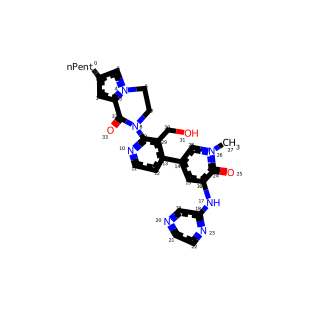 CCCCCc1cc2n(c1)CCN(c1nccc(-c3cc(Nc4cnccn4)c(=O)n(C)c3)c1CO)C2=O